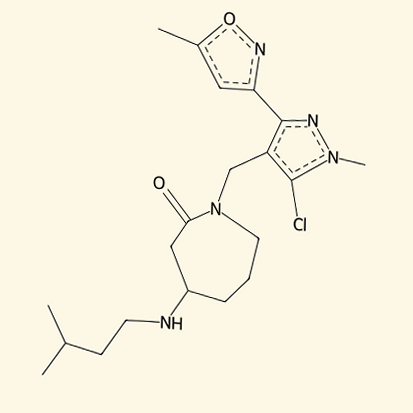 Cc1cc(-c2nn(C)c(Cl)c2CN2CCCC(NCCC(C)C)CC2=O)no1